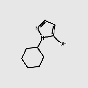 Oc1ccnn1C1CCCCC1